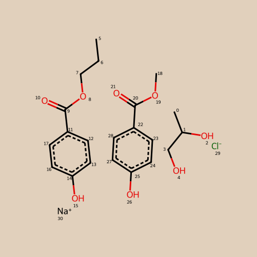 CC(O)CO.CCCOC(=O)c1ccc(O)cc1.COC(=O)c1ccc(O)cc1.[Cl-].[Na+]